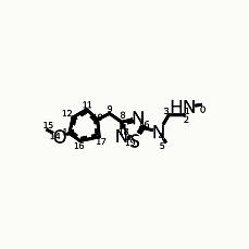 CNCCN(C)c1nc(Cc2ccc(OC)cc2)ns1